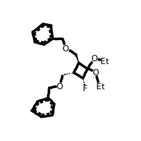 CCOC1(OCC)[C@H](F)[C@H](COCc2ccccc2)[C@H]1COCc1ccccc1